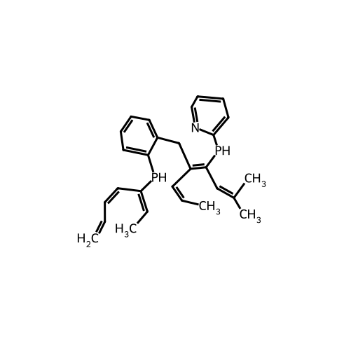 C=C/C=C\C(=C/C)Pc1ccccc1CC(/C=C\C)=C(/C=C(C)C)Pc1ccccn1